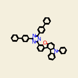 C1=CC2C(c3ccccc3N2c2ccccc2)c2c1oc1c(-c3nc(-c4ccc(-c5ccccc5)cc4)nc(-c4ccc(-c5ccccc5)cc4)n3)cccc21